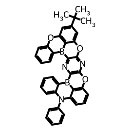 CC(C)(C)c1cc2c3c(c1)Oc1nc4c(nc1B3c1ccccc1O2)B1c2ccccc2N(c2ccccc2)c2cccc(c21)O4